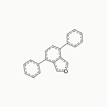 c1ccc(-c2ccc(-c3ccccc3)c3cocc23)cc1